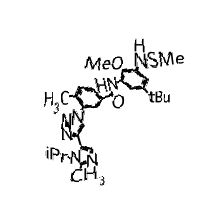 COc1c(NSC)cc(C(C)(C)C)cc1NC(=O)c1ccc(C)c(-n2cc(-c3cnc(C)n3C(C)C)nn2)c1